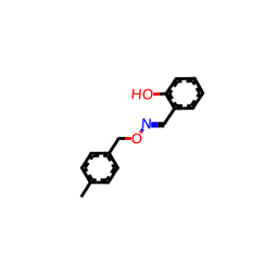 Cc1ccc(CON=Cc2ccccc2O)cc1